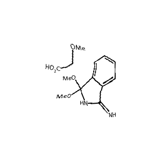 COC1(OC)NC(=N)c2ccccc21.COCC(=O)O